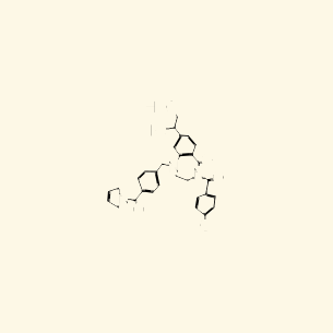 CCC(O)c1ccc2c(c1)N(Cc1ccc(C(=O)N3CC=CC3)cc1)CCN(C(=O)c1ccc(Cl)cc1)C2=O